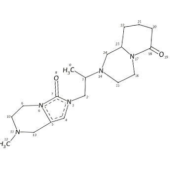 CC(Cn1cc2n(c1=O)CCN(C)C2)N1CCN2C(=O)CCCC2C1